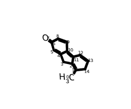 CC1=C2CC3=CC(=O)C=CC3=C2C=CC1